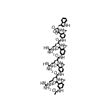 COc1ccc(NC(=O)[C@H](CCCNC(=N)N)NC(=O)c2cc(NC(=O)[C@H](CCCNC(=N)N)NC(=O)c3cc(NC(=O)[C@H](CCCNC(=N)N)NC(=O)c4cc(NC(C)=O)ccc4OC)ccc3OC)ccc2OC)cc1C(=O)N[C@@H](Cc1c[nH]c2ccccc12)C(=O)O